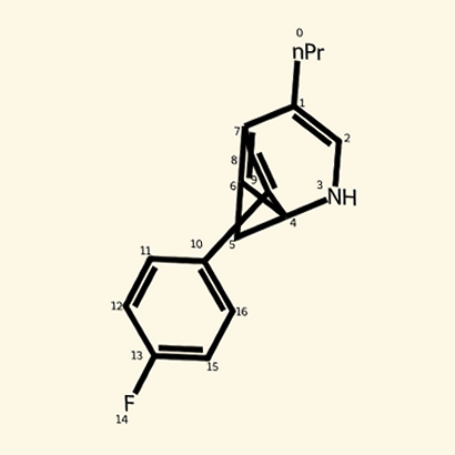 CCCC1=CNC23CC2=C1C=C3c1ccc(F)cc1